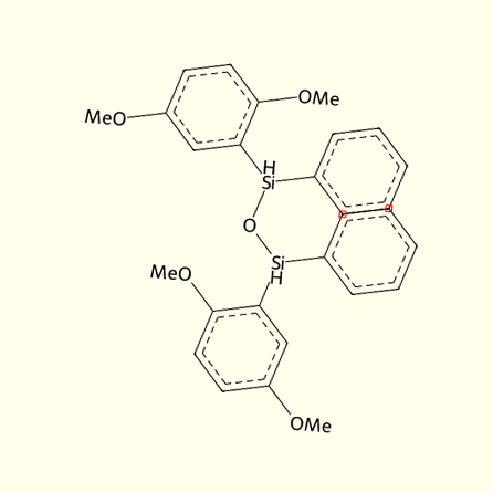 COc1ccc(OC)c([SiH](O[SiH](c2ccccc2)c2cc(OC)ccc2OC)c2ccccc2)c1